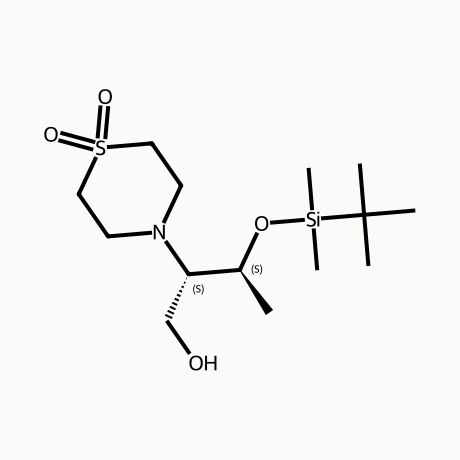 C[C@H](O[Si](C)(C)C(C)(C)C)[C@H](CO)N1CCS(=O)(=O)CC1